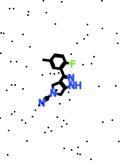 Cc1ccc(F)c(-c2n[nH]c3c2CN(C#N)C3)c1